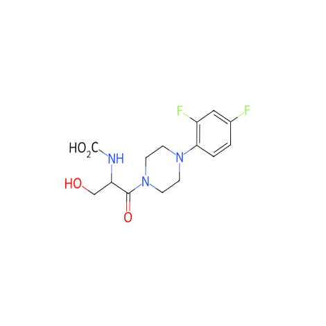 O=C(O)NC(CO)C(=O)N1CCN(c2ccc(F)cc2F)CC1